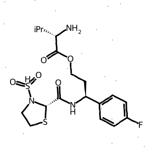 CC(C)[C@H](N)C(=O)OCC[C@H](NC(=O)[C@@H]1SCCN1[SH](=O)=O)c1ccc(F)cc1